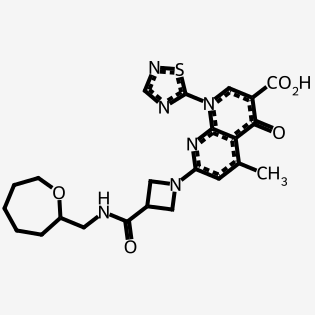 Cc1cc(N2CC(C(=O)NCC3CCCCCO3)C2)nc2c1c(=O)c(C(=O)O)cn2-c1ncns1